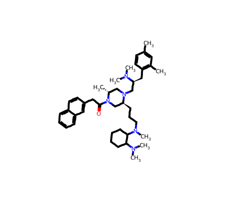 Cc1ccc(C[C@@H](CN2C[C@@H](C)N(C(=O)Cc3ccc4ccccc4c3)C[C@@H]2CCCN(C)C2CCCCC2N(C)C)N(C)C)c(C)c1